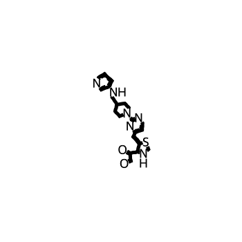 O=CC(=O)C1NCS/C1=C\c1ccnc(N2CCC(CNc3cccnc3)CC2)n1